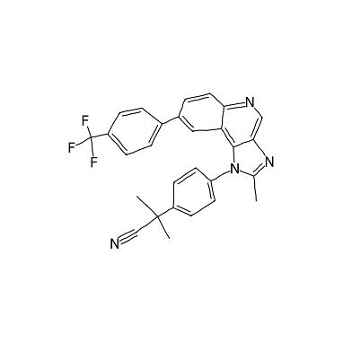 Cc1nc2cnc3ccc(-c4ccc(C(F)(F)F)cc4)cc3c2n1-c1ccc(C(C)(C)C#N)cc1